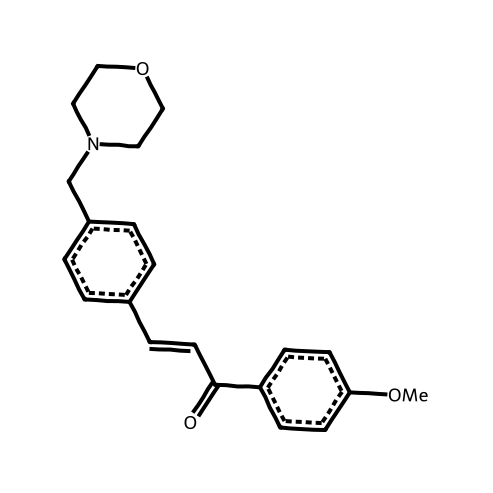 COc1ccc(C(=O)C=Cc2ccc(CN3CCOCC3)cc2)cc1